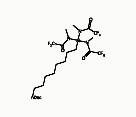 CCCCCCCCCCCCCCCCCC[Si](N(C)C(=O)C(F)(F)F)(N(C)C(=O)C(F)(F)F)N(C)C(=O)C(F)(F)F